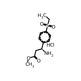 CCS(=O)(=O)c1ccc([C@@H](N)CC(=O)OC)cc1.Cl